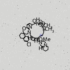 CO[C@@]1(CN2CCN3CCCC[C@@H]3C2)/C=C/C[C@H](C)[C@@H](C)S(=O)(=O)NC(=O)c2ccc3c(n2)N(C[C@@H]2CC[C@H]21)C[C@@]1(CCCc2cc(Cl)ccc21)CO3